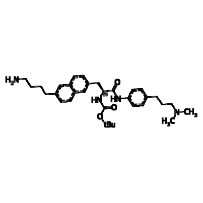 CN(C)CCCc1ccc(NC(=O)[C@H](Cc2ccc3cc(CCCCN)ccc3c2)NC(=O)OC(C)(C)C)cc1